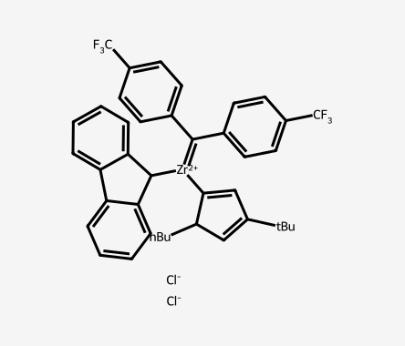 CCCCC1C=C(C(C)(C)C)C=[C]1[Zr+2](=[C](c1ccc(C(F)(F)F)cc1)c1ccc(C(F)(F)F)cc1)[CH]1c2ccccc2-c2ccccc21.[Cl-].[Cl-]